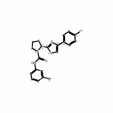 O=C(Nc1cccc(Br)c1)N1CCC[C@H]1c1nc(-c2ccc(F)cc2)cs1